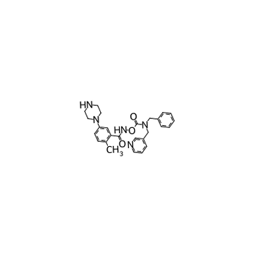 Cc1ccc(N2CCNCC2)cc1C(=O)NOC(=O)N(Cc1ccccc1)Cc1cccnc1